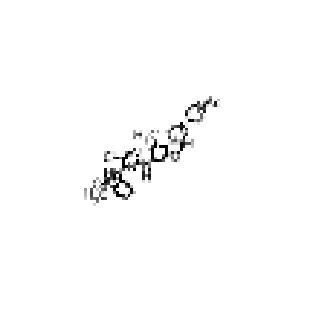 CC(=O)N1CCC(N2CCN3c4c(C)cc(Nc5ncc(Cl)c(Nc6ccccc6P(C)(C)=O)n5)cc4OC[C@H]3C2)CC1